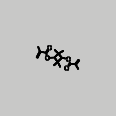 C=C(C)C(=O)OC1C(C)(C)C(OC(=O)C(=C)C)C1(C)C